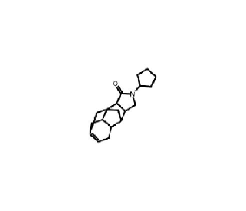 O=C1C2C(CN1C1CCCC1)C1CC23CC2=CCC1C3C2